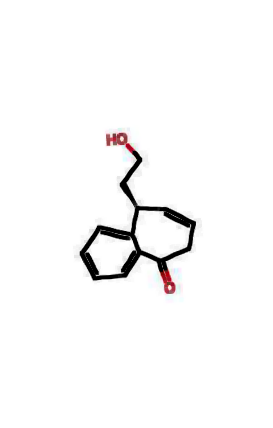 O=C1CC=C[C@H](CCO)c2ccccc21